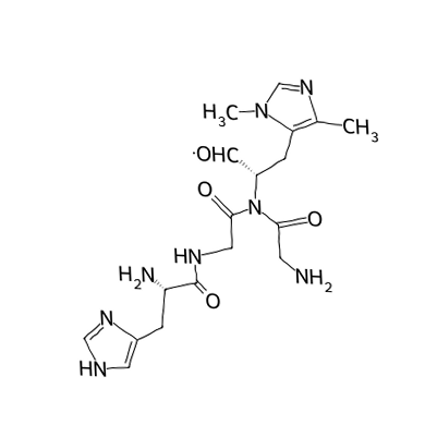 Cc1ncn(C)c1C[C@@H]([C]=O)N(C(=O)CN)C(=O)CNC(=O)[C@@H](N)Cc1c[nH]cn1